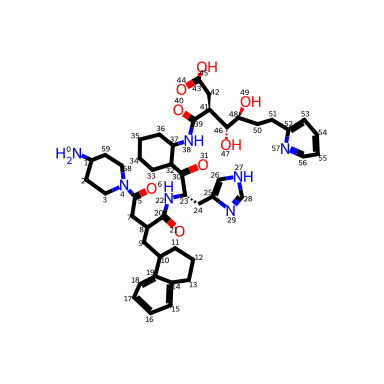 NC1CCN(C(=O)CC(CC2CCCc3ccccc32)C(=O)N[C@@H](Cc2c[nH]cn2)C(=O)C2CCCCC2NC(=O)[C@@H](CC(=O)O)[C@@H](O)[C@@H](O)CCc2ccccn2)CC1